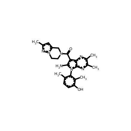 Cc1cc2n(n1)CCN(C(=O)c1c(N)n(-c3c(C)ccc(O)c3C)c3nc(C)c(C)nc13)C2